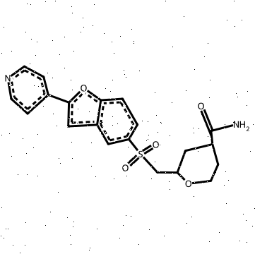 NC(=O)C1CCOC(CS(=O)(=O)c2ccc3oc(-c4ccncc4)cc3c2)C1